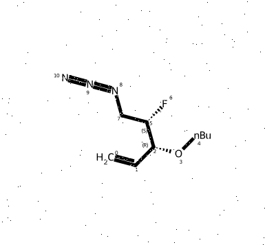 C=C[C@@H](OCCCC)[C@@H](F)CN=[N+]=[N-]